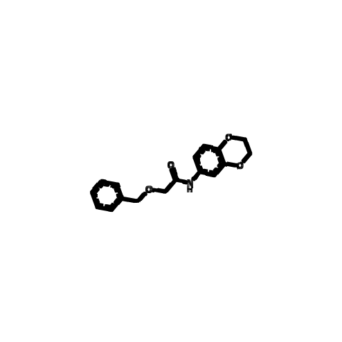 O=C(COCc1ccccc1)Nc1ccc2c(c1)OCCO2